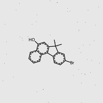 CC1(C)c2cc(Br)ccc2-c2c1cc(O)c1ccccc21